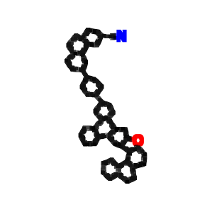 N#Cc1ccc2ccc3ccc(-c4ccc(-c5ccc6c(c5)c5ccccc5c5cc7c(cc65)oc5ccc6ccc8ccccc8c6c57)cc4)cc3c2c1